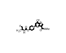 CNC(=O)c1csc2c(C(F)(F)F)cc(N3CCC(OC(=O)N[C@@H](C)CF)CC3)nc12